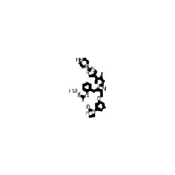 Cl.O=C1OCCN1c1cccc(OCc2nc3cc(F)c(-c4cnc(N5CCNCC5)nc4)cn3c2Cc2ccccc2OC(F)F)c1